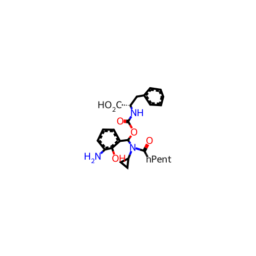 CCCCCC(=O)N(C1CC1)C(OC(=O)N[C@@H](Cc1ccccc1)C(=O)O)c1cccc(N)c1O